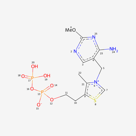 COc1ncc(C[n+]2csc(CCOP(=O)([O-])OP(=O)(O)O)c2C)c(N)n1